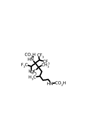 CC(CCNC(=O)O)CC(C)(C)C(NC(=O)O)(C(C(F)(F)F)C(F)(F)F)C(C(F)(F)F)C(F)(F)F